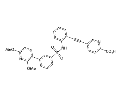 COc1ccc(-c2cccc(S(=O)(=O)Nc3ccccc3C#Cc3ccc(C(=O)O)nc3)c2)c(OC)n1